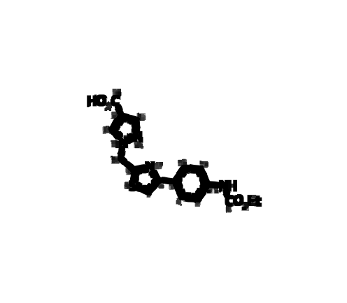 CCOC(=O)Nc1ccc(-c2csc(Cn3cc(C(=O)O)cn3)n2)cc1